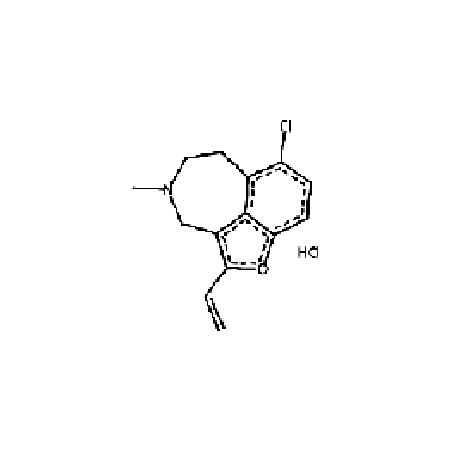 C=Cc1oc2ccc(Cl)c3c2c1CN(C)CC3.Cl